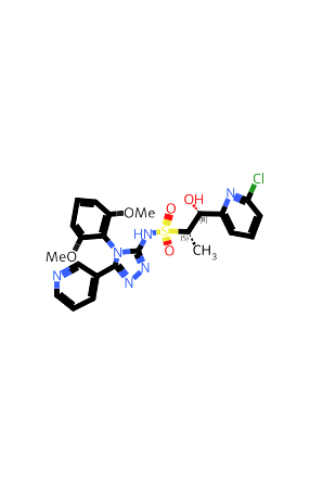 COc1cccc(OC)c1-n1c(NS(=O)(=O)[C@@H](C)[C@H](O)c2cccc(Cl)n2)nnc1-c1cccnc1